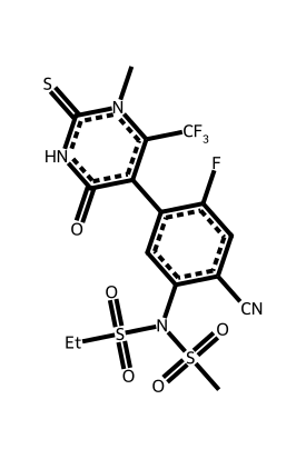 CCS(=O)(=O)N(c1cc(-c2c(C(F)(F)F)n(C)c(=S)[nH]c2=O)c(F)cc1C#N)S(C)(=O)=O